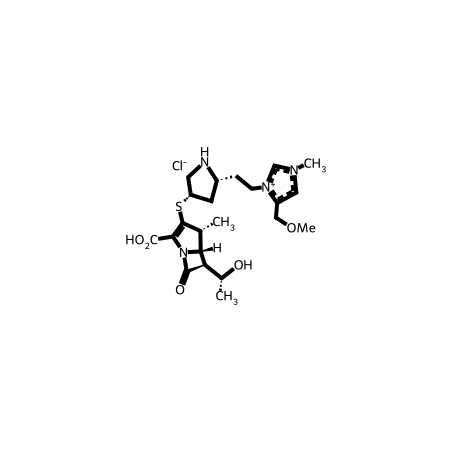 COCc1cn(C)c[n+]1CC[C@@H]1C[C@H](SC2=C(C(=O)O)N3C(=O)[C@H]([C@@H](C)O)[C@H]3[C@H]2C)CN1.[Cl-]